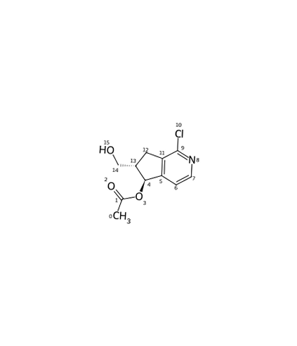 CC(=O)O[C@@H]1c2ccnc(Cl)c2C[C@H]1CO